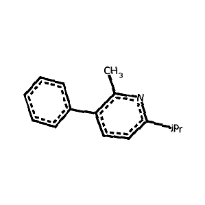 Cc1nc(C(C)C)ccc1-c1ccccc1